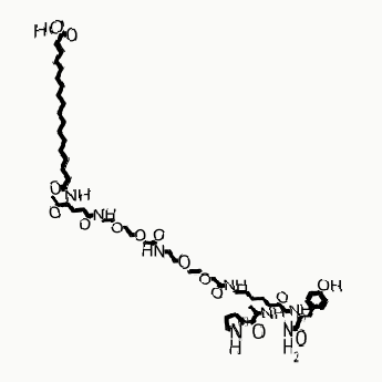 CC(=O)C(CCC(=O)NCCOCCOCC(=O)NCCOCCOCC(=O)NCCCCC(NC(C)C(=O)[C@@H]1CCCN1)C(=O)CN[C@@H](Cc1ccc(O)cc1)C(N)=O)NC(=O)CCCCCCCCCCCCCCCCC(=O)O